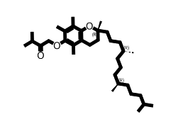 Cc1c(C)c2c(c(C)c1OCC(=O)C(C)C)CC[C@@](C)(CCC[C@H](C)CCC[C@H](C)CCCC(C)C)O2